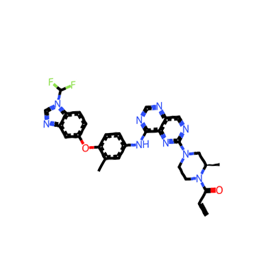 C=CC(=O)N1CCN(c2ncc3ncnc(Nc4ccc(Oc5ccc6c(c5)ncn6C(F)F)c(C)c4)c3n2)C[C@H]1C